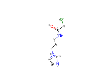 O=C(CBr)NCCCn1ccnc1